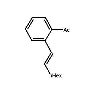 CCCCCCC=Cc1ccccc1C(C)=O